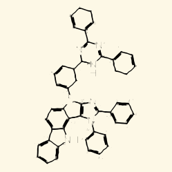 C1=CCCC(C2=NC(C3=CCCC=C3)=NC(C3C=CC=C(n4c5ccc6c7ccccc7[nH]c6c5c5c4nc(-c4ccccc4)n5-c4ccccc4)C3)N2)=C1